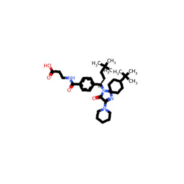 CC(C)(C)CC[C@H](c1ccc(C(=O)NCCC(=O)O)cc1)N1C(=O)C(N2CCCCC2)=NC12CCC(C(C)(C)C)CC2